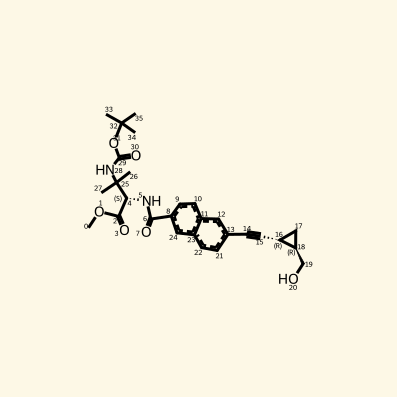 COC(=O)[C@@H](NC(=O)c1ccc2cc(C#C[C@@H]3C[C@H]3CO)ccc2c1)C(C)(C)NC(=O)OC(C)(C)C